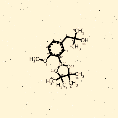 COc1ccc(CC(C)(C)O)cc1B1OC(C)(C)C(C)(C)O1